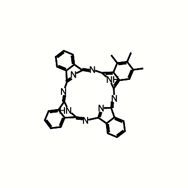 Cc1cc2c3nc4nc(nc5[nH]c(nc6nc(nc([nH]3)c2c(C)c1C)-c1ccccc1-6)c1ccccc51)-c1ccccc1-4